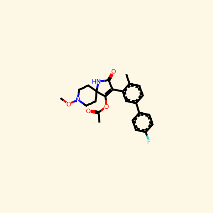 CON1CCC2(CC1)NC(=O)C(c1cc(-c3ccc(F)cc3)ccc1C)=C2OC(C)=O